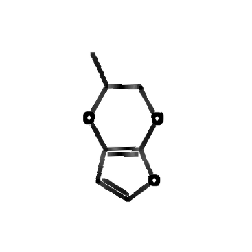 CC1COc2occc2O1